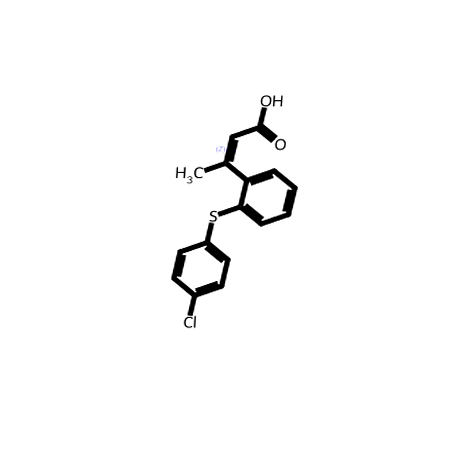 C/C(=C/C(=O)O)c1ccccc1Sc1ccc(Cl)cc1